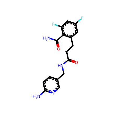 NC(=O)c1c(F)cc(F)cc1C[CH]C(=O)NCc1ccc(N)nc1